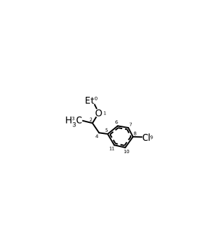 CCOC(C)Cc1ccc(Cl)cc1